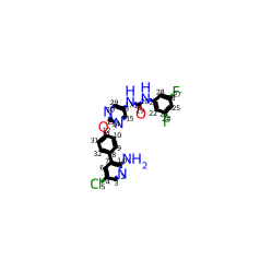 Nc1ncc(Cl)cc1-c1ccc(Oc2ncc(NC(=O)Nc3cc(F)cc(F)c3)cn2)cc1